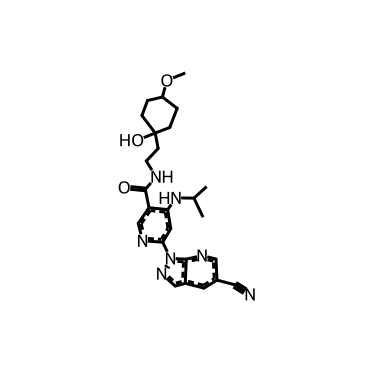 COC1CCC(O)(CCNC(=O)c2cnc(-n3ncc4cc(C#N)cnc43)cc2NC(C)C)CC1